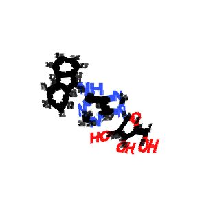 OCC1OC(n2cnc3c(NC4c5ccccc5-c5ccccc54)ncnc32)C(O)C1O